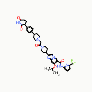 CC(C)Oc1cc2nc(C3CCN(C(=O)CN4CCC(c5ccc(C6CCC(=O)NC6=O)cc5)CC4)CC3)cn2cc1C(=O)Nc1cccc(C(F)F)n1